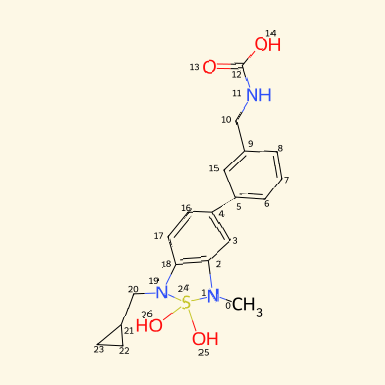 CN1c2cc(-c3cccc(CNC(=O)O)c3)ccc2N(CC2CC2)S1(O)O